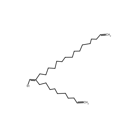 C=CCCCCCCCCCCCCCCC(=CCC)CCCCCCCCC=C